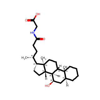 C[C@H](CCC(=O)NCC(=O)O)[C@H]1CC[C@H]2[C@@H]3[C@H](O)C[C@@H]4CCCC[C@]4(C)[C@H]3CC[C@]12C